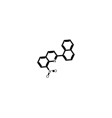 O=[N+]([O-])c1cccc2ccc(-c3cccc4ccccc34)nc12